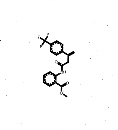 C=C(CC(=O)Nc1ccccc1C(=O)OC)c1ccc(C(F)(F)F)cc1